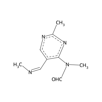 C/N=C\c1cnc(C)nc1N(C)C=O